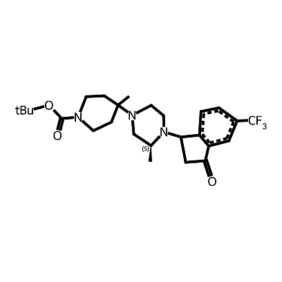 C[C@H]1CN(C2(C)CCN(C(=O)OC(C)(C)C)CC2)CCN1C1CC(=O)c2cc(C(F)(F)F)ccc21